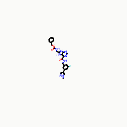 Cn1cc(-c2cc(F)cc(CNC(=O)c3ncnc4nc(CNC(=O)OCc5ccccc5)[nH]c34)c2)cn1